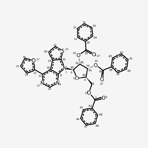 O=C(OC[C@H]1O[C@@H](n2c3ncnc(-c4ccco4)c3c3ccsc32)[C@H](OC(=O)c2ccccc2)[C@@H]1OC(=O)c1ccccc1)c1ccccc1